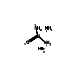 Br.N.NC(N)=O